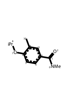 CNC(=O)c1ccc(OC(C)C)c(C)c1